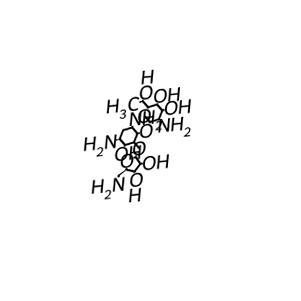 C[C@@H](O)C1O[C@H](O[C@@H]2C(N)C[C@@H](N)C(O)C2O[C@@H]2O[C@H](CN)C(O)C2O)[C@H](N)C(O)[C@@H]1O